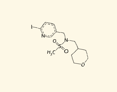 CS(=O)(=O)N(Cc1ccc(I)nc1)CC1CCOCC1